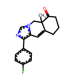 CC12Cn3cnc(-c4ccc(F)cc4)c3C=C1CCCC2=O